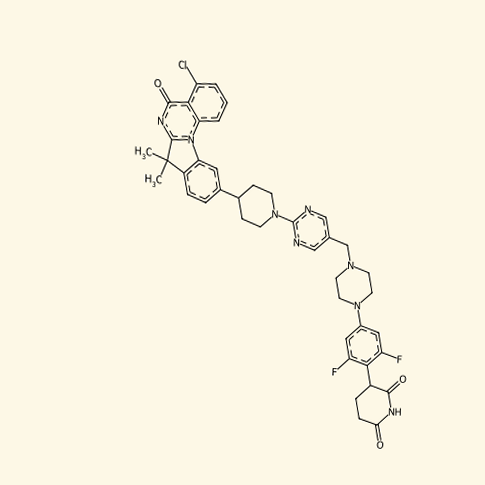 CC1(C)c2ccc(C3CCN(c4ncc(CN5CCN(c6cc(F)c(C7CCC(=O)NC7=O)c(F)c6)CC5)cn4)CC3)cc2-n2c1nc(=O)c1c(Cl)cccc12